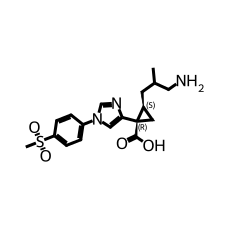 CC(CN)C[C@H]1C[C@]1(C(=O)O)c1cn(-c2ccc(S(C)(=O)=O)cc2)cn1